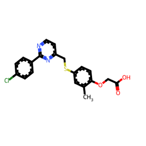 Cc1cc(SCc2ccnc(-c3ccc(Cl)cc3)n2)ccc1OCC(=O)O